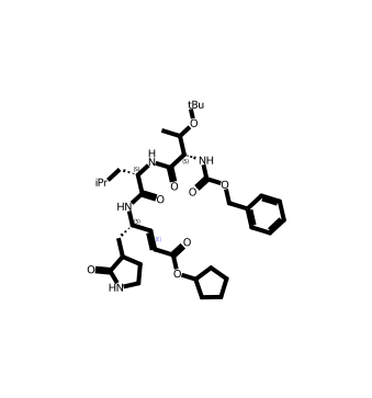 CC(C)C[C@H](NC(=O)[C@@H](NC(=O)OCc1ccccc1)C(C)OC(C)(C)C)C(=O)N[C@H](/C=C/C(=O)OC1CCCC1)CC1CCNC1=O